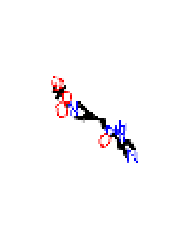 CC1(OC(=O)N2CC3C(CCNC(=O)c4cc5cnccc5[nH]4)C3C2)COC1